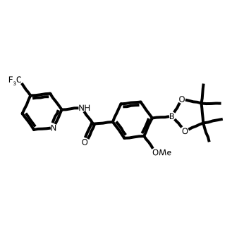 COc1cc(C(=O)Nc2cc(C(F)(F)F)ccn2)ccc1B1OC(C)(C)C(C)(C)O1